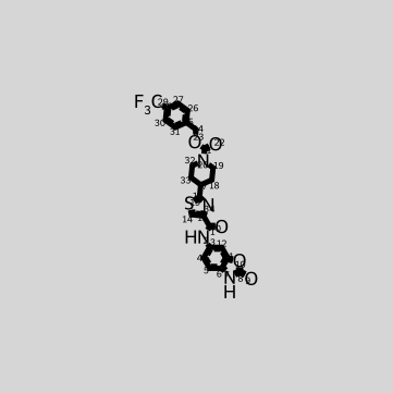 O=C(Nc1ccc2[nH]c(=O)oc2c1)c1csc(C2CCN(C(=O)OCc3ccc(C(F)(F)F)cc3)CC2)n1